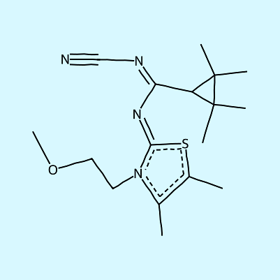 COCCn1c(C)c(C)s/c1=N\C(=N/C#N)C1C(C)(C)C1(C)C